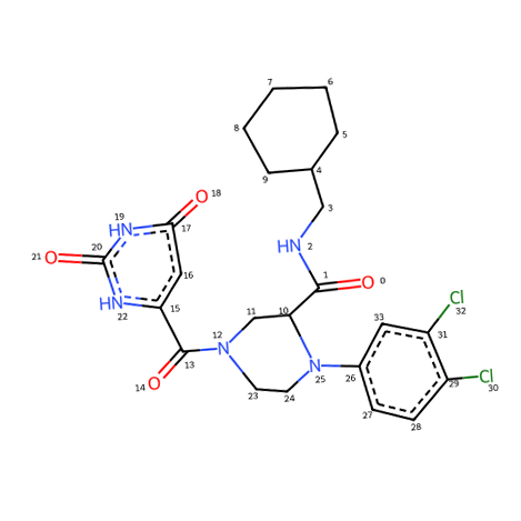 O=C(NCC1CCCCC1)C1CN(C(=O)c2cc(=O)[nH]c(=O)[nH]2)CCN1c1ccc(Cl)c(Cl)c1